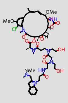 CNN(C)Cc1cc2ccccc2n1CCC(=O)NCC(=O)N(CCO)CC(=O)N(CCO)CCC(=O)N(C)[C@@H](C)C(=O)O[C@H]1CC(=O)N(C)c2cc(cc(OC)c2Cl)C/C(C)=C/C=C/[C@@H](OC)[C@@]2(O)C[C@H](OC(=O)N2)[C@@H](C)[C@@H]2O[C@]12C